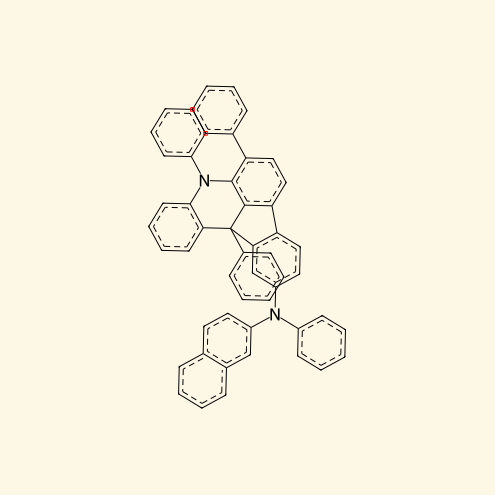 c1ccc(-c2ccc3c4c2N(c2ccccc2)c2ccccc2C4(c2ccccc2)c2cc(N(c4ccccc4)c4ccc5ccccc5c4)ccc2-3)cc1